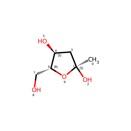 C[C@@]1(O)C[C@H](O)[C@@H](CO)O1